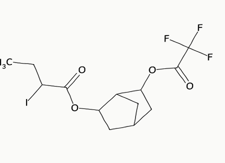 CCC(I)C(=O)OC1CC2CC(OC(=O)C(F)(F)F)C1C2